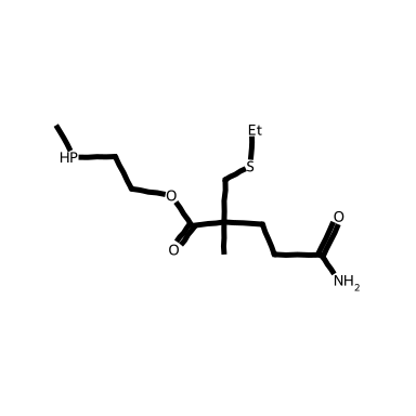 CCSCC(C)(CCC(N)=O)C(=O)OCCPC